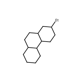 CCC1CCC2C(CCC3CCCCC32)C1